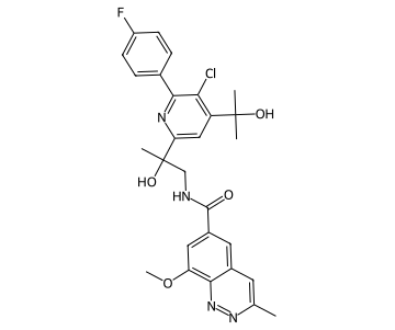 COc1cc(C(=O)NCC(C)(O)c2cc(C(C)(C)O)c(Cl)c(-c3ccc(F)cc3)n2)cc2cc(C)nnc12